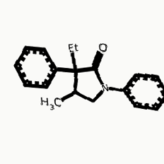 CCC1(c2ccccc2)C(=O)N(c2ccccc2)CC1C